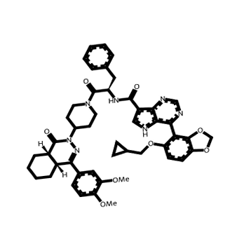 COc1ccc(C2=NN(C3CCN(C(=O)[C@@H](Cc4ccccc4)NC(=O)c4c[nH]c5c(-c6c(OCC7CC7)ccc7c6OCO7)ncnc45)CC3)C(=O)[C@H]3CCCC[C@@H]23)cc1OC